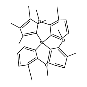 COc1c(C)cccc1[Si](C1=C(C)C(C)=C(C)C1C)(c1cccc(C)c1OC)c1cccc(C)c1OC